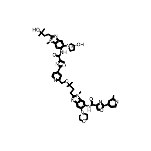 Cc1cc(-c2nc(C(=O)Nc3cc4c(cc3N3CCOCC3)nc(CCC(C)(C)OCc3cc(-c5nc(C(=O)Nc6cc7c(cc6N6CC[C@@H](O)C6)nc(CCC(C)(C)O)n7C)co5)ccn3)n4C)co2)ccn1